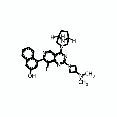 CN(C)C1CN(c2nc(N3C[C@H]4CC[C@@H](C3)N4)c3cnc(-c4cc(O)cc5ccccc45)c(F)c3n2)C1